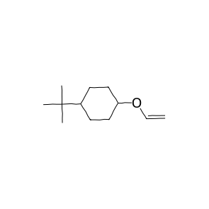 C=COC1CCC(C(C)(C)C)CC1